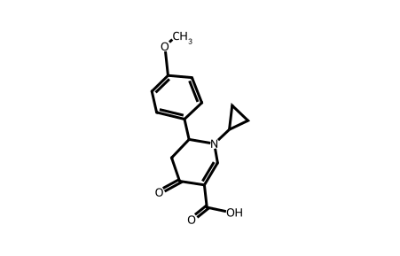 COc1ccc(C2CC(=O)C(C(=O)O)=CN2C2CC2)cc1